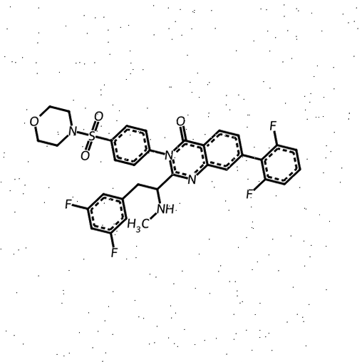 CNC(Cc1cc(F)cc(F)c1)c1nc2cc(-c3c(F)cccc3F)ccc2c(=O)n1-c1ccc(S(=O)(=O)N2CCOCC2)cc1